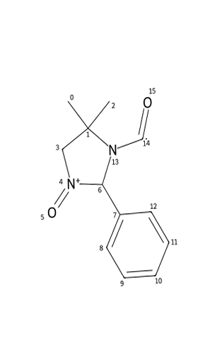 CC1(C)C[N+](=O)C(c2ccccc2)N1[C]=O